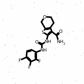 NC(=O)c1c(NC(=O)Nc2ccc(F)c(F)c2F)sc2c1CCOC2